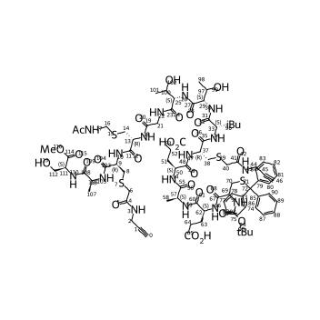 C#CCNC(=O)CSC[C@H](NC(=O)[C@H](CSCNC(C)=O)NC(=O)CNC(=O)[C@@H](NC(=O)[C@@H](NC(=O)[C@@H](NC(=O)[C@H](CSCC(=O)NCC#C)NC(=O)[C@H](CCC(=O)O)NC(=O)[C@H](C)NC(=O)[C@H](CCC(=O)O)NC(=O)C(CSC(c1ccccc1)(c1ccccc1)c1ccccc1)NC(=O)OC(C)(C)C)C(C)CC)C(C)O)C(C)O)C(=O)N[C@@H](C)C(=O)N[C@@H](CO)C(=O)OC